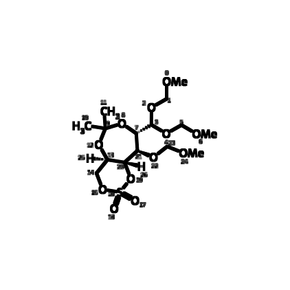 COCOC(OCOC)[C@H]1OC(C)(C)O[C@@H]2COS(=O)(=O)O[C@H]2[C@@H]1OCOC